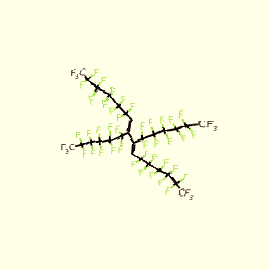 FC(F)(F)C(F)(F)C(F)(F)C(F)(F)C(F)(F)C(F)(F)/C=C(/C(=C/C(F)(F)C(F)(F)C(F)(F)C(F)(F)C(F)(F)C(F)(F)F)C(F)(F)C(F)(F)C(F)(F)C(F)(F)C(F)(F)C(F)(F)F)C(F)(F)C(F)(F)C(F)(F)C(F)(F)C(F)(F)C(F)(F)F